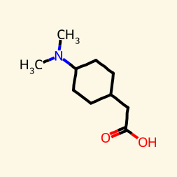 CN(C)C1CCC(CC(=O)O)CC1